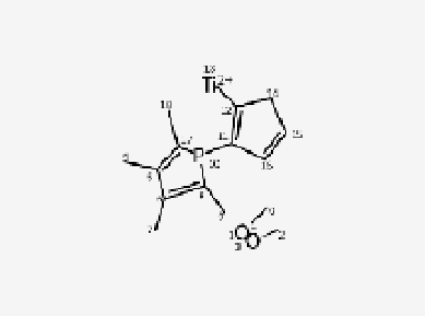 C[O-].C[O-].Cc1c(C)c(C)p(C2=[C]([Ti+2])CC=C2)c1C